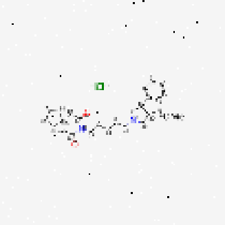 COC1c2ccccc2C2CN(CCCCCN3C(=O)CC4(CCCC4)CC3=O)CC21.Cl